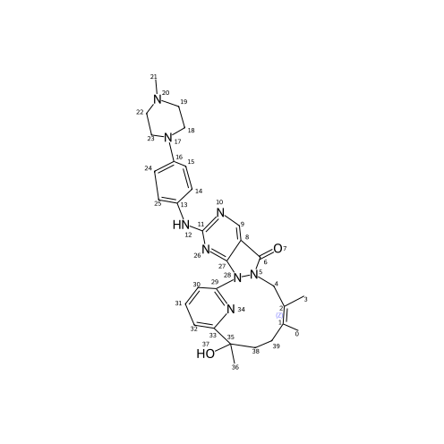 C/C1=C(\C)Cn2c(=O)c3cnc(Nc4ccc(N5CCN(C)CC5)cc4)nc3n2-c2cccc(n2)C(C)(O)CC1